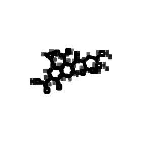 CC(C)C[C@H](Nc1c(F)cc2c(=O)c(C(=O)O)cn(C3CC3)c2c1[N+](=O)[O-])C(=O)O